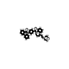 O=C(Nc1ccc(C(=O)N2CCCN(CCN3CCOCC3)c3ccccc32)cc1)c1ccccc1-c1ccccc1